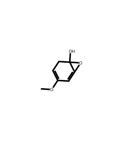 COC1=CCC2(O)OC2=C1